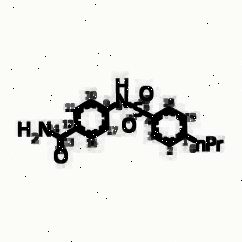 CCCc1ccc(S(=O)(=O)Nc2ccc(C(N)=O)cc2)cc1